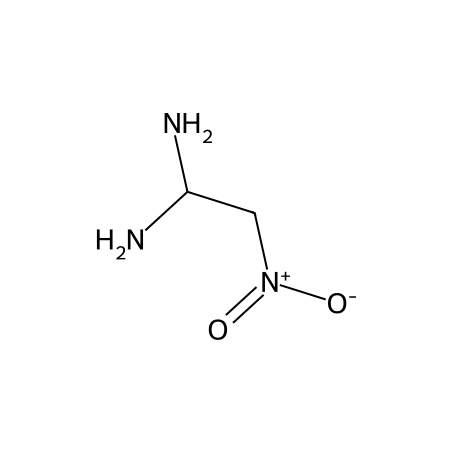 NC(N)C[N+](=O)[O-]